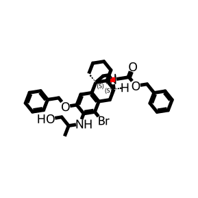 CC(CO)Nc1c(OCc2ccccc2)cc2c(c1Br)C[C@H]1[C@H]3CCCC[C@@]23CCN1C(=O)OCc1ccccc1